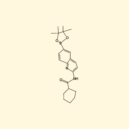 CC1(C)OB(c2ccc3nc(NC(=O)C4CCCCC4)ccc3c2)OC1(C)C